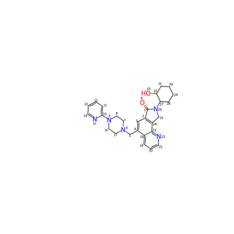 O=C1c2cc(CN3CCN(c4ccccn4)CC3)c3cccnc3c2CN1C1CCCCC1O